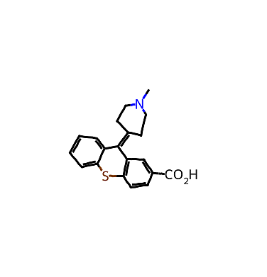 CN1CCC(=C2c3ccccc3Sc3ccc(C(=O)O)cc32)CC1